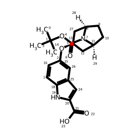 CC(C)(C)OC(=O)N1[C@@H]2CC[C@H]1C[C@@H](Oc1ccc3[nH]c(C(=O)O)cc3c1)C2